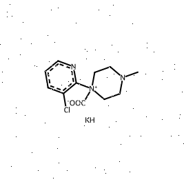 CN1CC[N+](C(=O)[O-])(c2ncccc2Cl)CC1.[KH]